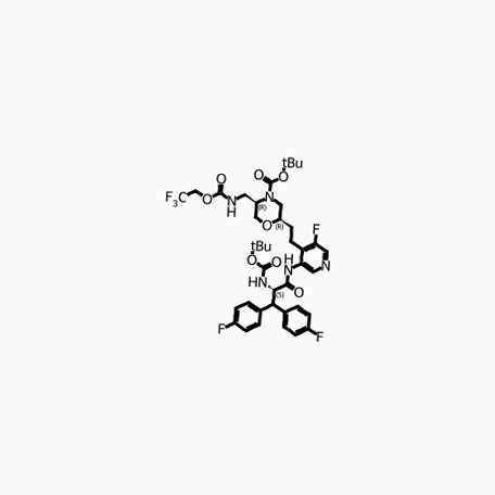 CC(C)(C)OC(=O)N[C@H](C(=O)Nc1cncc(F)c1CC[C@@H]1CN(C(=O)OC(C)(C)C)[C@H](CNC(=O)OCC(F)(F)F)CO1)C(c1ccc(F)cc1)c1ccc(F)cc1